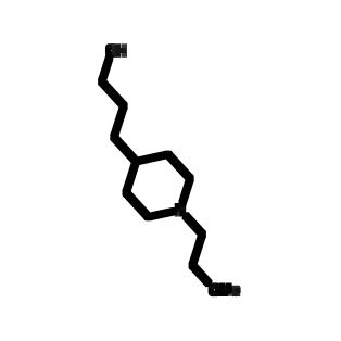 COCCN1CCC(CCCO)CC1